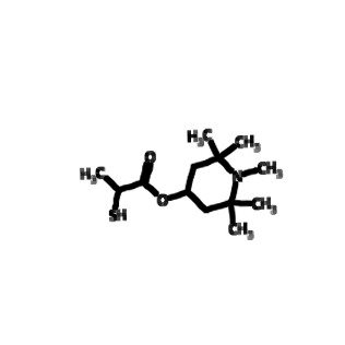 CC(S)C(=O)OC1CC(C)(C)N(C)C(C)(C)C1